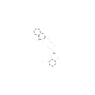 CC(C)c1cccc(C(C)C)c1NC(=O)N1CCN(Cc2nc3ccccc3c(=O)[nH]2)CC1